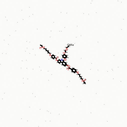 C=CC(=O)OCCCCCCOc1ccc(C(=O)Oc2ccc3c(c2)nc(Oc2ccc(OCCOCCOC)cc2)c2cc(OC(=O)c4ccc(OCCCCCCOC(=O)C=C)cc4)ccc23)cc1